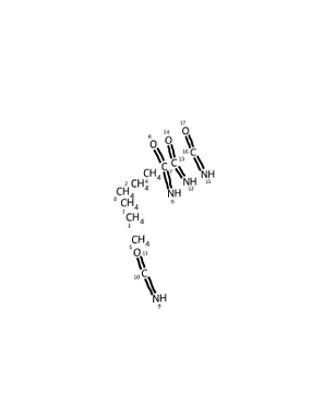 C.C.C.C.C.C.N=C=O.N=C=O.N=C=O.N=C=O